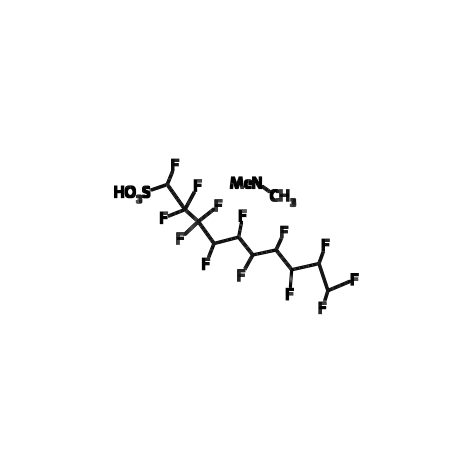 CNC.O=S(=O)(O)C(F)C(F)(F)C(F)(F)C(F)C(F)C(F)C(F)C(F)C(F)C(F)F